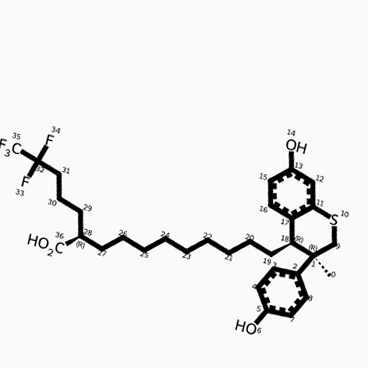 C[C@@]1(c2ccc(O)cc2)CSc2cc(O)ccc2[C@@H]1CCCCCCCCC[C@H](CCCC(F)(F)C(F)(F)F)C(=O)O